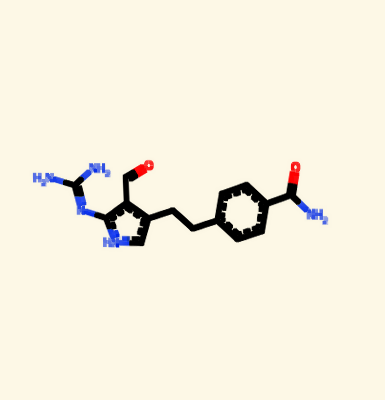 NC(=O)c1ccc(CCc2c[nH]c(N=C(N)N)c2C=O)cc1